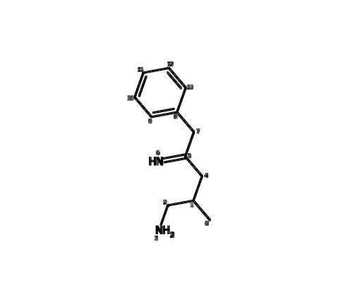 CC(CN)CC(=N)Cc1ccccc1